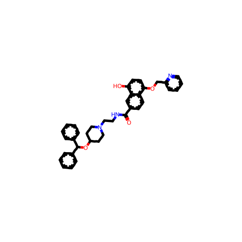 O=C(NCCN1CCC(OC(c2ccccc2)c2ccccc2)CC1)c1ccc2c(OCc3ccccn3)ccc(O)c2c1